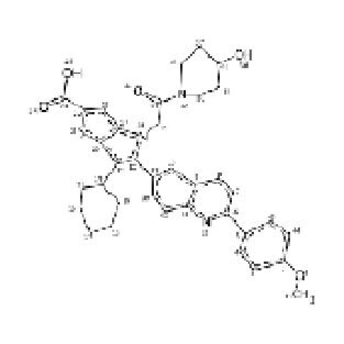 COc1ccc(-c2ccc3cc(-c4c(C5CCCCC5)c5sc(C(=O)O)cc5n4CC(=O)N4CCC(O)CC4)ccc3n2)cc1